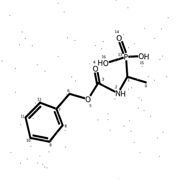 CC(NC(=O)OCc1ccccc1)P(=O)(O)O